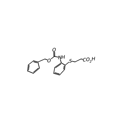 O=C(O)CCSc1ccccc1NC(=O)OCc1ccccc1